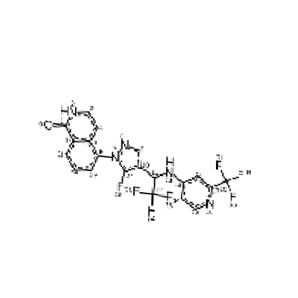 O=c1[nH]ccc2c(-n3ncc(C(Nc4ccnc(C(F)(F)F)c4)C(F)(F)F)c3F)cccc12